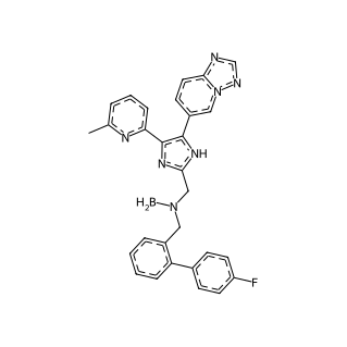 BN(Cc1nc(-c2cccc(C)n2)c(-c2ccc3ncnn3c2)[nH]1)Cc1ccccc1-c1ccc(F)cc1